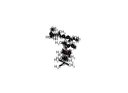 CC1(C)[C@H](C(=O)OC(C#N)c2cccc(Oc3ccccc3)c2)[C@@H]1/C=C(\Cl)C(F)(F)F.CCCCSP(SCCCC)SCCCC.CCOC(=O)C(C)OC(=O)c1cc(Oc2ccc(C(F)(F)F)cc2Cl)ccc1[N+](=O)[O-].COc1cc(C)c(C(=O)c2c(OC)ccc(Br)c2C)c(OC)c1OC.COc1cc(OC)nc(NC(=O)NS(=O)(=O)c2cc(CNS(C)(=O)=O)ccc2C(=O)O)n1.CSc1nnc(C(C)(C)C)c(=O)n1N